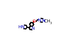 CN1CCN(CCOc2ccc3c(C4CCNCC4)ccnc3c2)CC1